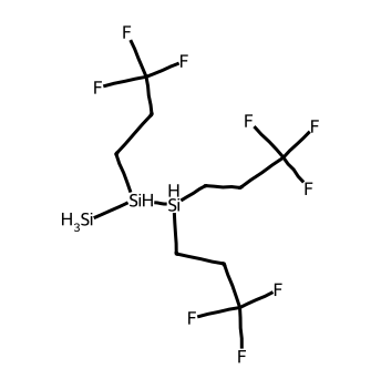 FC(F)(F)CC[SiH]([SiH3])[SiH](CCC(F)(F)F)CCC(F)(F)F